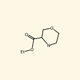 CCOC(=O)C1COCC[N]1